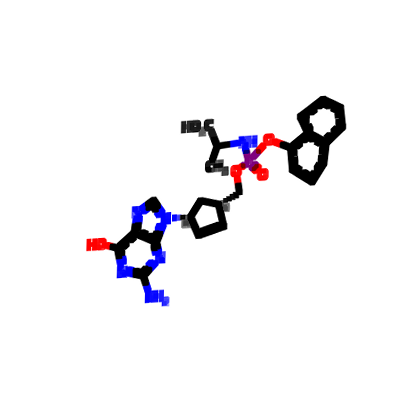 CC(NP(=O)(OC[C@@H]1C=C[C@H](n2cnc3c(O)nc(N)nc32)C1)Oc1cccc2ccccc12)C(=O)O